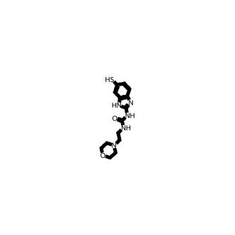 O=C(NCCN1CCOCC1)Nc1nc2ccc(S)cc2[nH]1